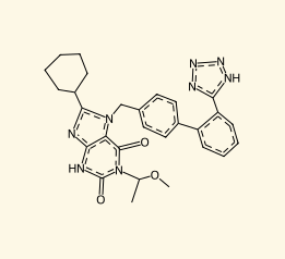 COC(C)n1c(=O)[nH]c2nc(C3CCCCC3)n(Cc3ccc(-c4ccccc4-c4nnn[nH]4)cc3)c2c1=O